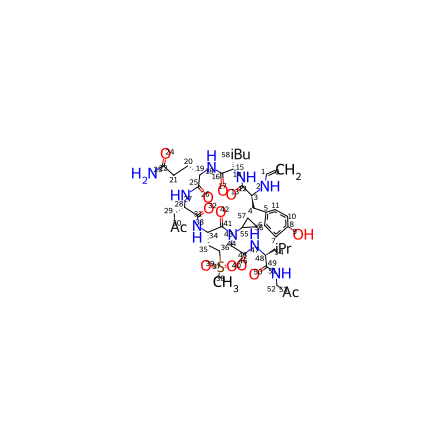 C=CN[C@@H](Cc1ccc(O)cc1)C(=O)N[C@H](C(=O)N[C@@H](CCC(N)=O)C(=O)N[C@@H](CC(C)=O)C(=O)N[C@@H](CCS(C)(=O)=O)C(=O)N(CC(=O)N[C@H](C(=O)NCC(C)=O)C(C)C)C1CC1)[C@@H](C)CC